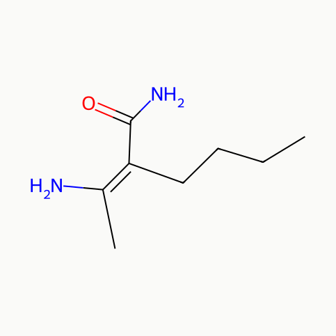 CCCC/C(C(N)=O)=C(\C)N